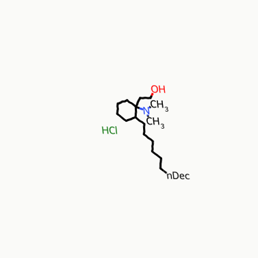 CCCCCCCCCCCCCCCCC1CCCCC1(CCO)N(C)C.Cl